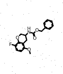 COc1ccc(F)c2c1CC(NC(=O)OCc1ccccc1)CO2